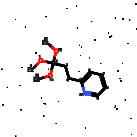 CCO[Si](CCc1ccccn1)(OCC)OCC